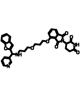 O=C1CCC(N2C(=O)c3cccc(OCCCOCCCNC(c4cccnc4)c4cc5ccccc5o4)c3C2=O)C(=O)N1